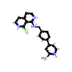 Cc1cc(-c2ccc(CNc3nccc4ccnc(Cl)c34)cc2)ccn1